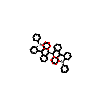 c1ccc(N(c2ccccc2)c2ccccc2-c2c3ccccc3c(-c3c4ccccc4c(-c4ccccc4N(c4ccccc4)c4ccccc4)c4ccccc34)c3ccccc23)cc1